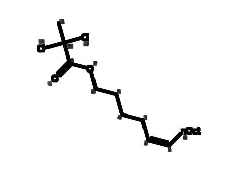 CCCCCCCC/C=C\CCCCOC(=O)C(C)(Cl)Cl